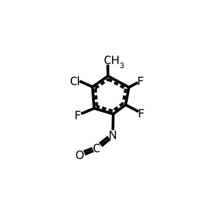 Cc1c(F)c(F)c(N=C=O)c(F)c1Cl